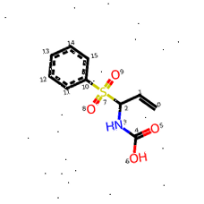 C=CC(NC(=O)O)S(=O)(=O)c1ccccc1